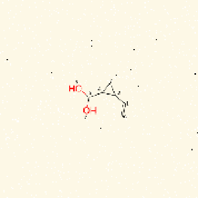 C=CC1CC1C(O)O